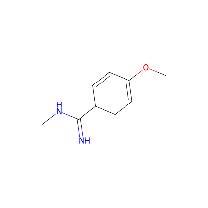 CNC(=N)C1C=CC(OC)=CC1